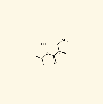 CC(C)OC(=O)[C@H](C)CN.Cl